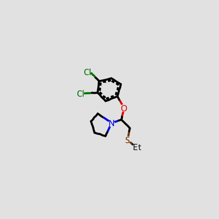 CCSCC(Oc1ccc(Cl)c(Cl)c1)N1CCCC1